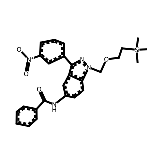 C[Si](C)(C)CCOCn1nc(-c2cccc([N+](=O)[O-])c2)c2cc(NC(=O)c3ccccc3)ccc21